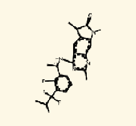 Cc1nc(N[C@H](C)c2cccc(C(F)(F)C(C)C)c2F)c2cc3c(cc2n1)N(C)C(=O)C3C